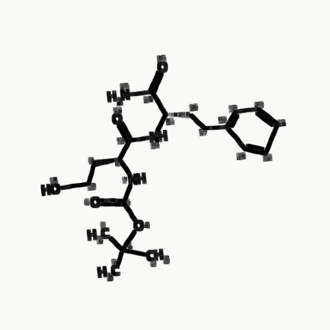 CC(C)(C)OC(=O)N[C@@H](CCO)C(=O)N[C@@H](CCc1ccccc1)C(N)=O